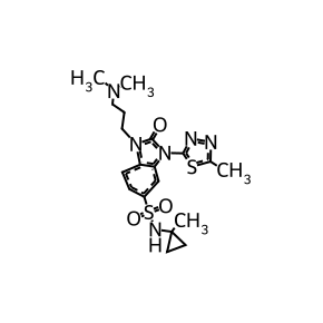 Cc1nnc(-n2c(=O)n(CCCN(C)C)c3ccc(S(=O)(=O)NC4(C)CC4)cc32)s1